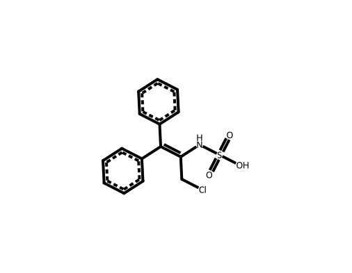 O=S(=O)(O)NC(CCl)=C(c1ccccc1)c1ccccc1